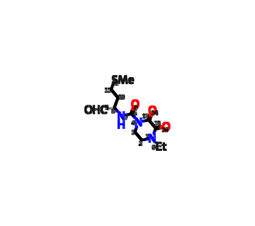 CCN1CCN(C(=O)N[C@H](C=O)CCSC)C(=O)C1=O